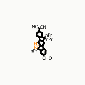 CCCC1(P)c2cc(C=O)ccc2-c2cc3c(cc21)-c1ccc(C(C#N)C#N)cc1C3(CCC)CCC